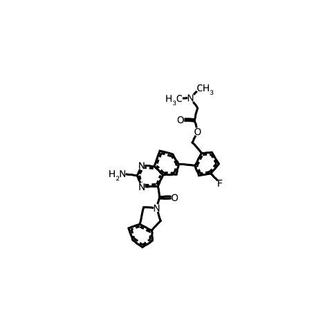 CN(C)CC(=O)OCc1ccc(F)cc1-c1ccc2nc(N)nc(C(=O)N3Cc4ccccc4C3)c2c1